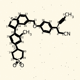 CC#C[C@@H](CC#N)c1ccc(OCc2ccc3scc(-c4ccc(C5CCS(=O)(=O)CC5)cc4C)c3c2)cc1